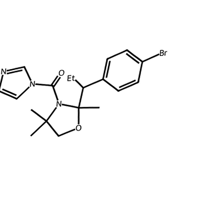 CCC(c1ccc(Br)cc1)C1(C)OCC(C)(C)N1C(=O)n1ccnc1